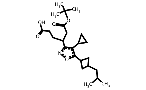 CC(C)CC1CC(c2onc(C(CCC(=O)O)CC(=O)OC(C)(C)C)c2C2CC2)C1